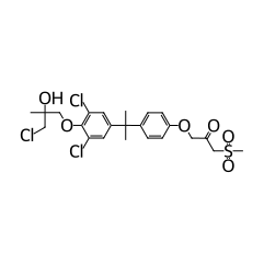 CC(O)(CCl)COc1c(Cl)cc(C(C)(C)c2ccc(OCC(=O)CS(C)(=O)=O)cc2)cc1Cl